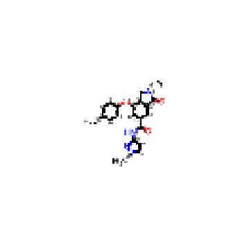 CCCN1Cc2c(Oc3ccc(C)cc3)cc(C(=O)Nc3ccn(C)n3)cc2C1=O